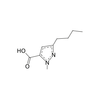 CCCCc1cc(C(=O)O)n(C)n1